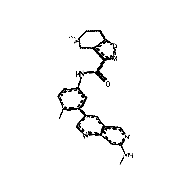 CNc1cc2ncc(-c3cc(NC(=O)c4noc5c4C[C@H](C)CC5)ccc3C)cc2cn1